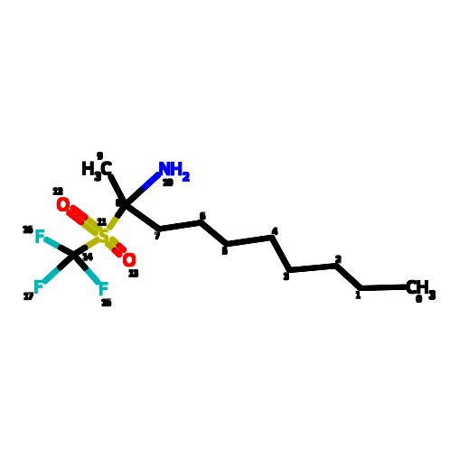 CCCCCCCCC(C)(N)S(=O)(=O)C(F)(F)F